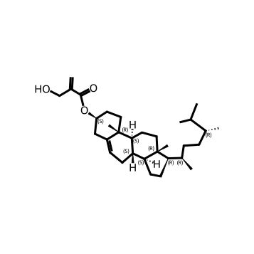 C=C(CO)C(=O)O[C@H]1CC[C@@]2(C)C(=CC[C@H]3[C@@H]4CC[C@H]([C@H](C)CC[C@@H](C)C(C)C)[C@@]4(C)CC[C@@H]32)C1